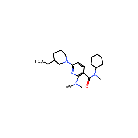 CCCN(C)c1nc(N2CCCC(CC(=O)O)C2)ccc1C(=O)N(C)C1CCCCC1